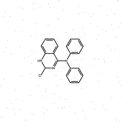 ClC1N=C(N(c2ccccc2)c2ccccc2)c2ccccc2N1